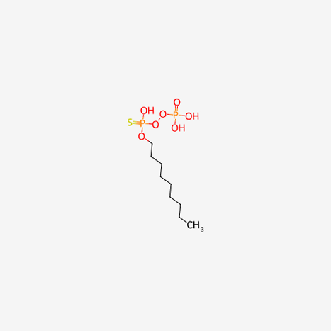 CCCCCCCCCOP(O)(=S)OOP(=O)(O)O